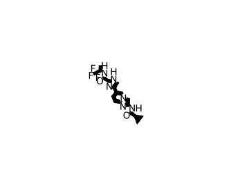 CC(NC(=O)c1nc(-c2ccc3nc(NC(=O)C4CC4)cn3c2)c[nH]1)C(F)(F)F